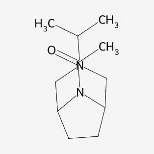 CC(=O)N1C2CCC1CN(C(C)C)C2